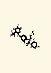 COC[C@H](C)N(c1ccc(Oc2ncc(I)cc2C(F)(F)F)cc1C)C(=O)[C@H]1CC[C@H](C)CC1